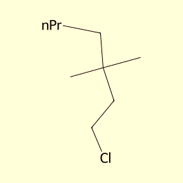 CCCCC(C)(C)CCCl